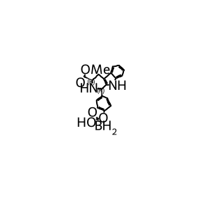 BC1(O)Oc2ccc([C@H]3N[C@@H](C(=O)OC)Cc4c3[nH]c3ccccc43)cc2O1